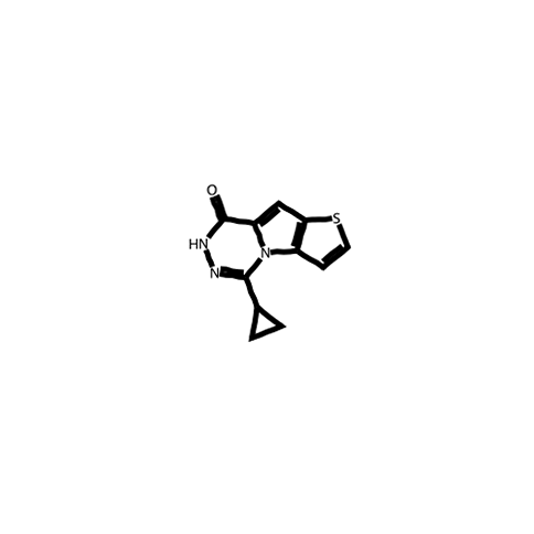 O=c1[nH]nc(C2CC2)n2c1cc1sccc12